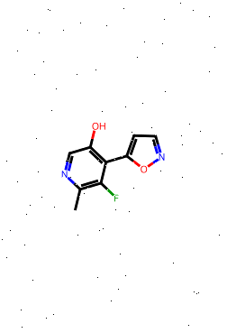 Cc1ncc(O)c(-c2ccno2)c1F